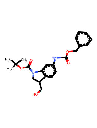 CC(C)(C)OC(=O)N1CC(CO)c2ccc(NC(=O)OCc3ccccc3)cc21